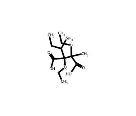 CCOC(C)(C(=O)O)C(OCC)(C(=O)O)C([SiH3])CC